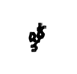 CCn1c(S)nc2cc(CN(C(=O)OC(C)(C)C)C3CCOCC3)ccc21